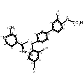 Cc1cc(/C(C[C@H](c2ccc(-c3ccc(OC(=O)O)c(Cl)c3)cc2)c2ccc(Cl)cc2F)=N/O)ccn1